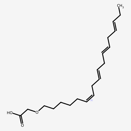 CCC=CCC=CCC=CC/C=C\CCCCCOCC(=O)O